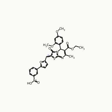 CCOC(=O)C1=C(C)N=c2s/c(=C\c3ccc(-c4cccc([N+](=O)O)c4)o3)c(=O)n2C1c1ccc(OC)cc1OC